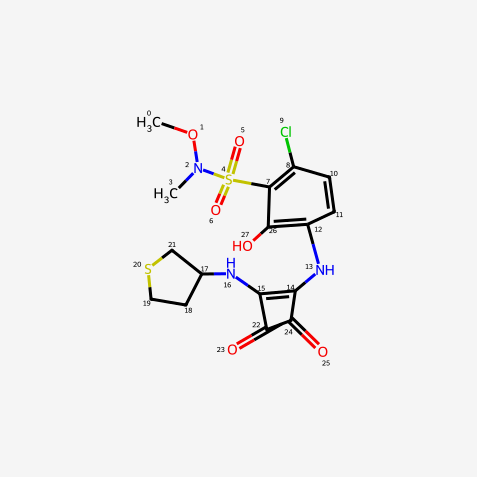 CON(C)S(=O)(=O)c1c(Cl)ccc(Nc2c(NC3CCSC3)c(=O)c2=O)c1O